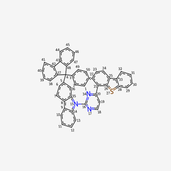 c1ccc(C2(c3ccc4c5ccccc5n(-c5nccc(-c6cccc7c6sc6ccccc67)n5)c4c3)c3ccccc3-c3ccccc32)cc1